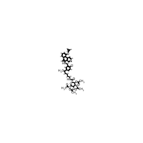 CC(=O)OC1O[C@H](C(=O)NCCCCC(C)c2ccc(Cl)c(CNC3(c4cnccc4-c4ccccc4OC4CC4)CC3)c2)[C@@H](OC(C)=O)[C@H](OC(C)=O)[C@H]1OC(C)=O